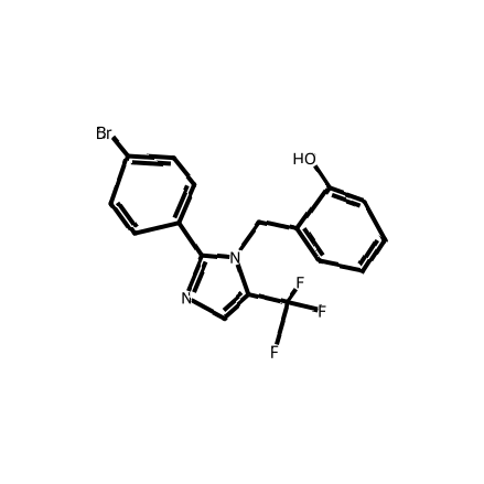 Oc1ccccc1Cn1c(C(F)(F)F)cnc1-c1ccc(Br)cc1